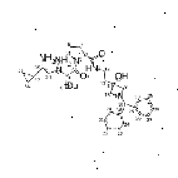 CC(C)(C)[C@@H](C(=O)N1CCC[C@H]1C(=O)NCCC1(O)CN(C(c2ccccc2)c2ccccc2)C1)N(N)/C=C(\N)C1CC1